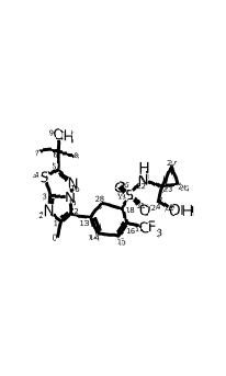 Cc1nc2sc(C(C)(C)O)nn2c1C1=CC=C(C(F)(F)F)C(S(=O)(=O)NC2(CO)CC2)C1